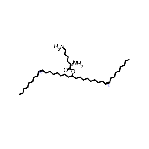 CCCCCCCC/C=C\CCCCCCCCC(CCCCCCC/C=C\CCCCCCCC)OC(=O)[C@@H](N)CCCCN